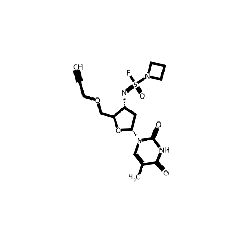 C#CCOCC1O[C@@H](n2cc(C)c(=O)[nH]c2=O)C[C@H]1N=S(=O)(F)N1CCC1